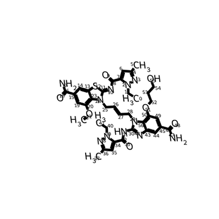 CCn1nc(C)cc1C(=O)/N=c1\sc2cc(C(N)=O)cc(OC)c2n1C/C=C/Cn1c(NC(=O)c2cc(C)nn2CC)nc2cc(C(N)=O)cc(OCCCO)c21